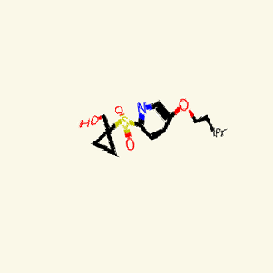 CC(C)CCOc1ccc(S(=O)(=O)C2(CO)CC2)nc1